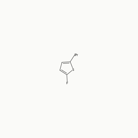 CC(C)c1ccc(F)s1